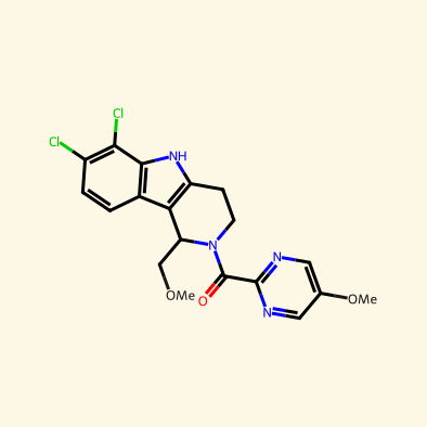 COCC1c2c([nH]c3c(Cl)c(Cl)ccc23)CCN1C(=O)c1ncc(OC)cn1